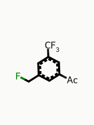 CC(=O)c1cc(CF)cc(C(F)(F)F)c1